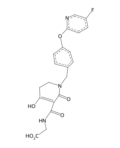 O=C(O)CNC(=O)C1=C(O)CCN(Cc2ccc(Oc3ccc(F)cn3)cc2)C1=O